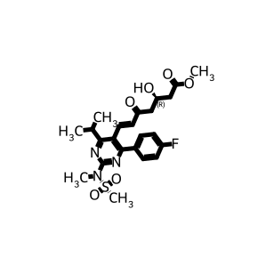 COC(=O)C[C@H](O)CC(=O)C=Cc1c(-c2ccc(F)cc2)nc(N(C)S(C)(=O)=O)nc1C(C)C